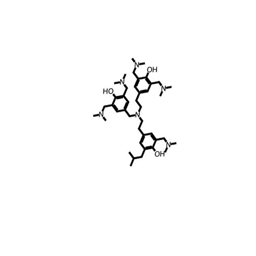 CC(C)Cc1cc(CCN(CCc2cc(CN(C)C)c(O)c(CN(C)C)c2)Cc2cc(CN(C)C)c(O)c(CN(C)C)c2)cc(CN(C)C)c1O